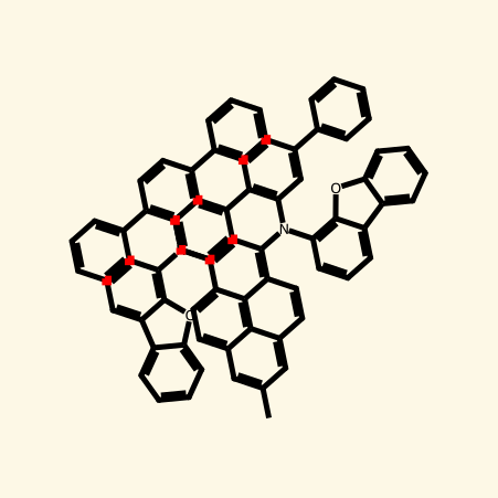 Cc1cc2ccc3c(N(c4cc(-c5ccccc5)ccc4-c4ccccc4)c4cccc5c4oc4ccccc45)cc(N(c4cc(-c5ccccc5)ccc4-c4ccccc4)c4cccc5c4oc4ccccc45)c4ccc(c1)c2c34